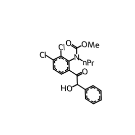 CCCN(C(=O)OC)c1c(C(=O)C(O)c2ccccc2)ccc(Cl)c1Cl